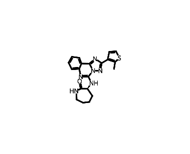 Cc1sccc1-c1nc2c3ccccc3nc(N[C@H]3CCCCNC3=O)n2n1